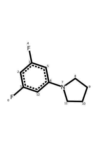 Fc1[c]c(F)cc(N2CCCC2)c1